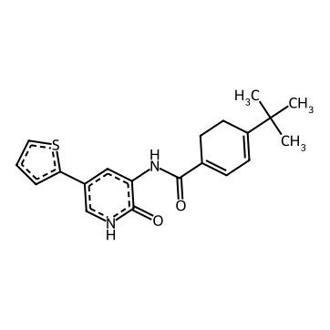 CC(C)(C)C1=CC=C(C(=O)Nc2cc(-c3cccs3)c[nH]c2=O)CC1